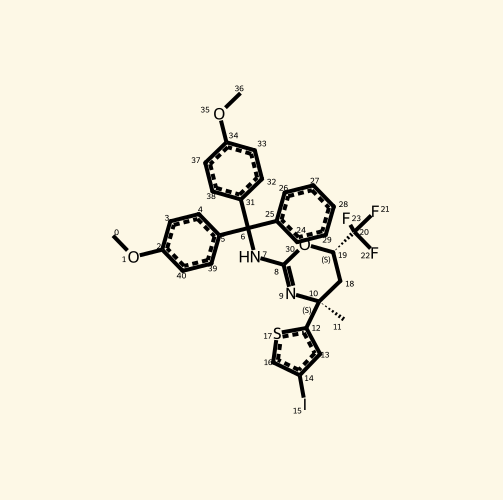 COc1ccc(C(NC2=N[C@](C)(c3cc(I)cs3)C[C@@H](C(F)(F)F)O2)(c2ccccc2)c2ccc(OC)cc2)cc1